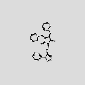 O=C1C(=CSc2nnnn2-c2ccccc2)C(=O)N(Cc2ccccc2)N1Cc1ccccc1